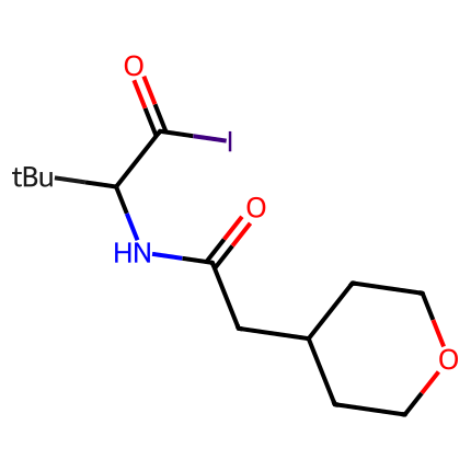 CC(C)(C)C(NC(=O)CC1CCOCC1)C(=O)I